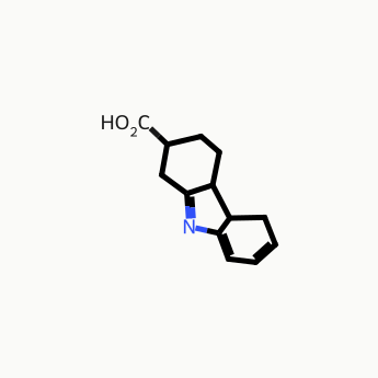 O=C(O)C1CCC2C(=NC3=CC=CCC32)C1